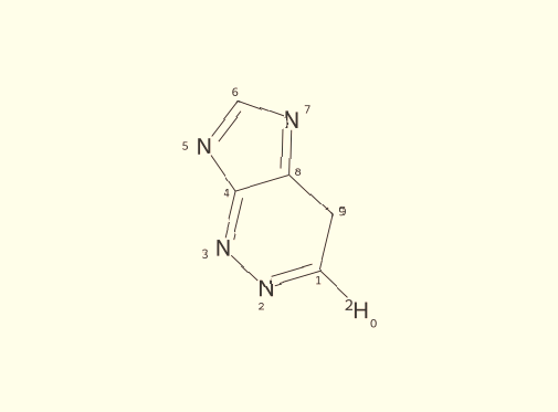 [2H]C1=NN=C2N=CN=C2C1